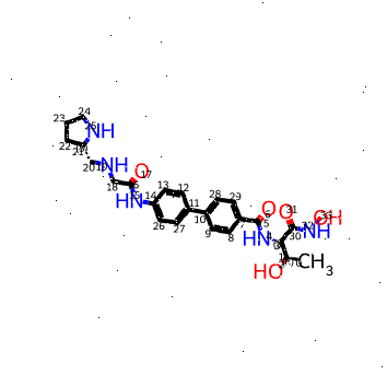 C[C@@H](O)[C@H](NC(=O)c1ccc(-c2ccc(NC(=O)CNC[C@@H]3CCCN3)cc2)cc1)C(=O)NO